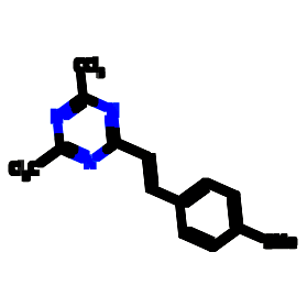 CSc1ccc(C=Cc2nc(C(Cl)(Cl)Cl)nc(C(Cl)(Cl)Cl)n2)cc1